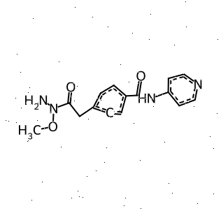 CON(N)C(=O)Cc1ccc(C(=O)Nc2ccncc2)cc1